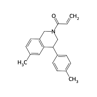 C=CC(=O)N1Cc2ccc(C)cc2C(c2ccc(C)cc2)C1